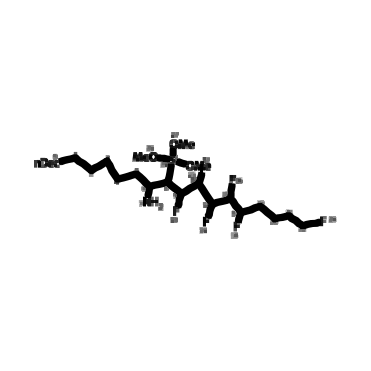 CCCCCCCCCCCCCCCC(N)C(C(F)C(F)C(F)C(F)C(F)CCCCF)[Si](OC)(OC)OC